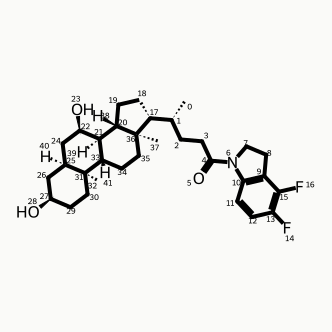 C[C@H](CCC(=O)N1CCc2c1ccc(F)c2F)[C@H]1CC[C@H]2[C@@H]3[C@H](O)C[C@@H]4C[C@H](O)CC[C@]4(C)[C@H]3CC[C@]12C